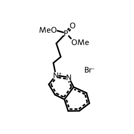 COP(=O)(CCC[n+]1ccc2ccccc2n1)OC.[Br-]